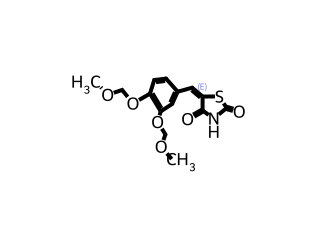 COCOc1ccc(/C=C2/SC(=O)NC2=O)cc1OCOC